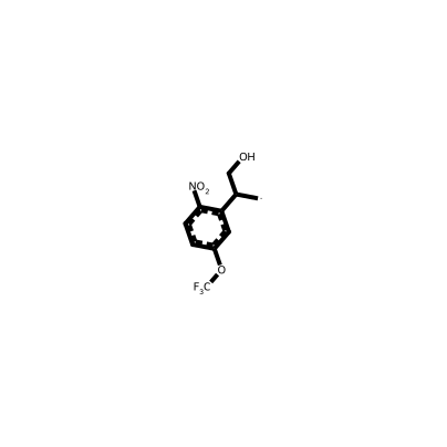 [CH2]C(CO)c1cc(OC(F)(F)F)ccc1[N+](=O)[O-]